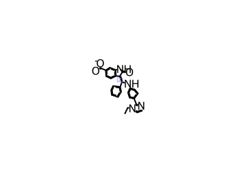 CCn1ccnc1-c1ccc(N/C(=C2\C(=O)Nc3cc(C(=O)OC)ccc32)c2ccccc2)cc1